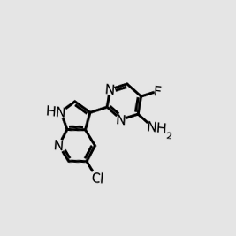 Nc1nc(-c2c[nH]c3ncc(Cl)cc23)ncc1F